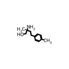 Cc1ccc(CC[C@@](C)(N)CO)cc1